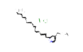 CCCCCCCCCCCCCCc1cc(CC)ccn1.Cl